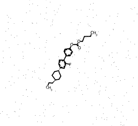 CCCCOC(=O)Oc1ccc(-c2ccc([C@H]3CC[C@H](CCC)CC3)cc2F)cc1